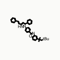 CC(C)(C)CC(C)(C)c1ccc2oc(-c3ccc(N4NC(C=Cc5ccccc5)=CC4c4ccccc4)cc3)nc2c1